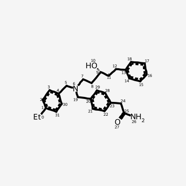 CCc1ccc(CN(CC[C@H](O)[CH]Cc2ccccc2)Cc2ccc(CC(N)=O)cc2)cc1